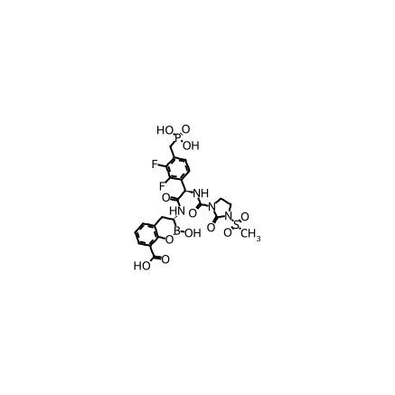 CS(=O)(=O)N1CCN(C(=O)N[C@@H](C(=O)N[C@H]2Cc3cccc(C(=O)O)c3OB2O)c2ccc(CP(=O)(O)O)c(F)c2F)C1=O